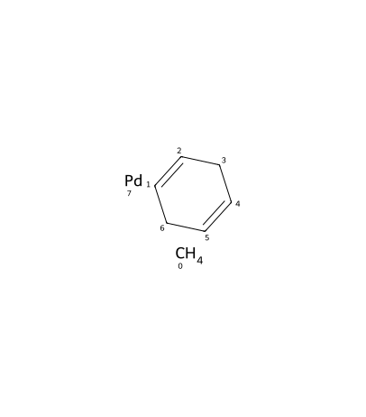 C.C1=CCC=CC1.[Pd]